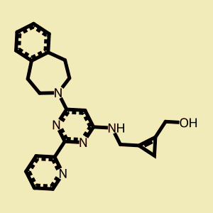 OCC1=C(CNc2cc(N3CCc4ccccc4CC3)nc(-c3ccccn3)n2)C1